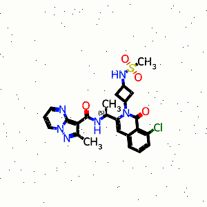 Cc1nn2cccnc2c1C(=O)N[C@@H](C)c1cc2cccc(Cl)c2c(=O)n1C1CC(NS(C)(=O)=O)C1